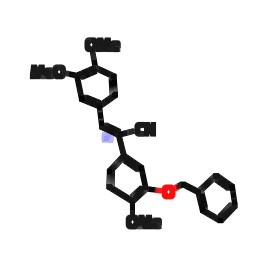 COc1ccc(/C=C(\C#N)c2ccc(OC)c(OCc3ccccc3)c2)cc1OC